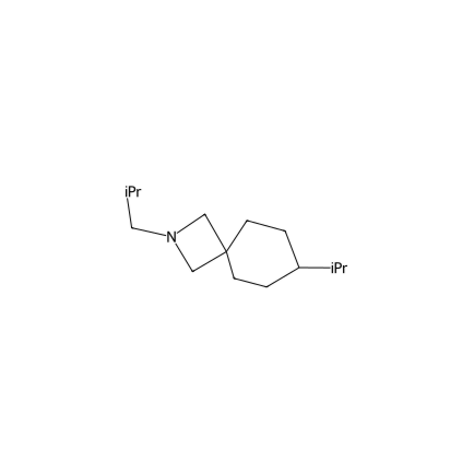 CC(C)CN1CC2(CCC(C(C)C)CC2)C1